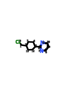 ClCC1CCC(c2ncccn2)CC1